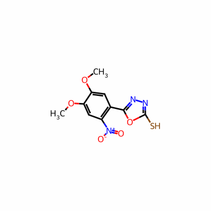 COc1cc(-c2nnc(S)o2)c([N+](=O)[O-])cc1OC